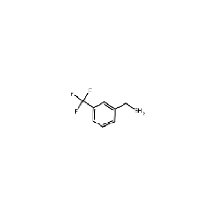 BCc1cccc(C(F)(F)F)c1